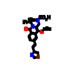 CCCCOc1c(CN(C(=O)O)C(C)(C)C)n(CC(C)C)c(=O)c2ccc(C=Cc3cscn3)cc12